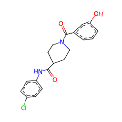 O=C(Nc1ccc(Cl)cc1)C1CCN(C(=O)c2cccc(O)c2)CC1